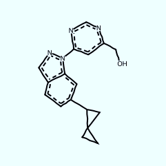 OCc1cc(-n2ncc3ccc(C4CC45CC5)cc32)ncn1